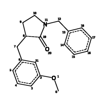 COc1cccc(CC2CCN(Cc3ccccc3)C2=O)c1